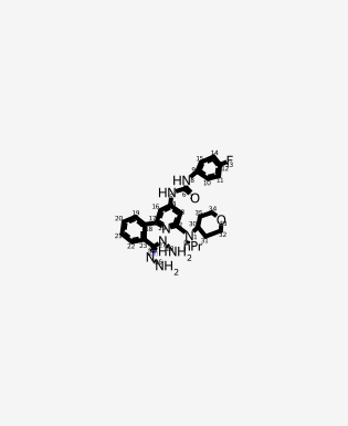 CCCN(c1cc(NC(=O)Nc2ccc(F)cc2)cc(-c2ccccc2/C(=N/N)NN)n1)C1CCOCC1